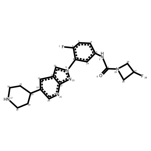 O=C(Nc1ccc(F)c(-n2cc3cc(C4CCNCC4)cnc3n2)c1)N1CC(F)C1